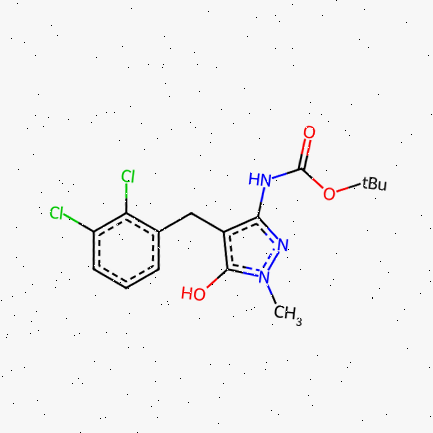 Cn1nc(NC(=O)OC(C)(C)C)c(Cc2cccc(Cl)c2Cl)c1O